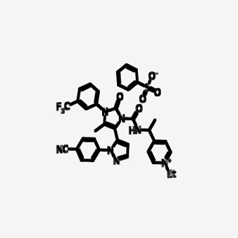 CC[n+]1ccc(C(C)NC(=O)n2c(-c3ccnn3-c3ccc(C#N)cc3)c(C)n(-c3cccc(C(F)(F)F)c3)c2=O)cc1.O=S(=O)([O-])c1ccccc1